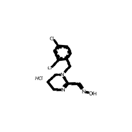 Cl.ON=CC1=NCCCN1Cc1ccc(Cl)cc1Cl